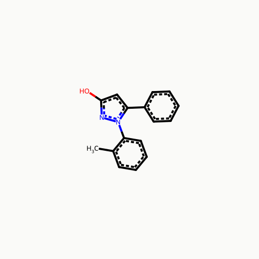 Cc1ccccc1-n1nc(O)cc1-c1ccccc1